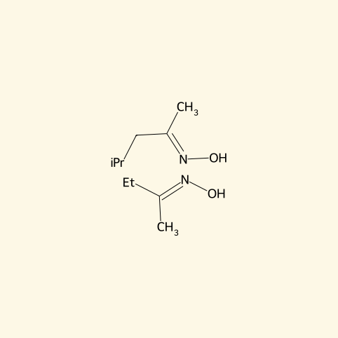 CC(CC(C)C)=NO.CCC(C)=NO